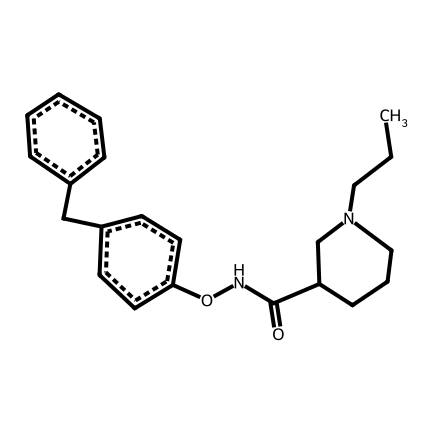 CCCN1CCCC(C(=O)NOc2ccc(Cc3ccccc3)cc2)C1